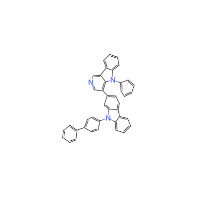 c1ccc(-c2ccc(-n3c4ccccc4c4ccc(-c5cncc6c7ccccc7n(-c7ccccc7)c56)cc43)cc2)cc1